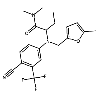 CCC(C(=O)N(C)C)N(Cc1ccc(C)o1)c1ccc(C#N)c(C(F)(F)F)c1